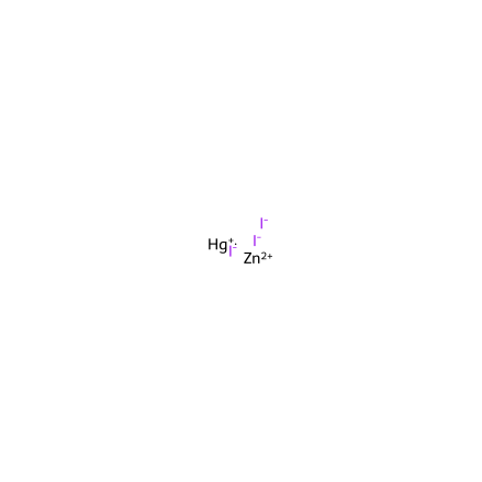 [Hg+].[I-].[I-].[I-].[Zn+2]